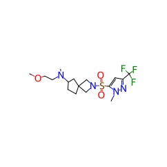 COCCN(C)C1CCC2(C1)CN(S(=O)(=O)c1cc(C(F)(F)F)nn1C)C2